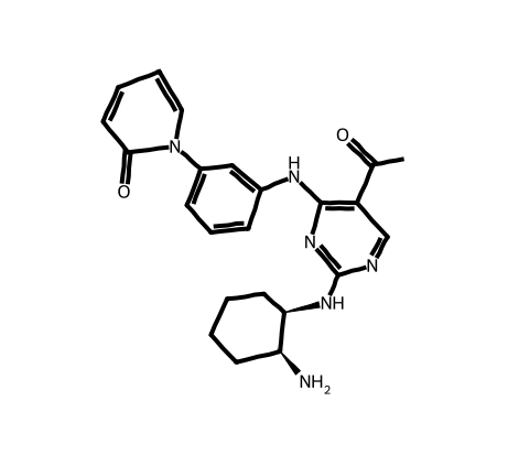 CC(=O)c1cnc(N[C@@H]2CCCC[C@@H]2N)nc1Nc1cccc(-n2ccccc2=O)c1